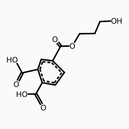 O=C(OCCCO)c1ccc(C(=O)O)c(C(=O)O)c1